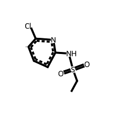 CCS(=O)(=O)Nc1cc[c]c(Cl)n1